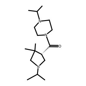 CC(C)N1CCN(C(=O)[C@@H]2CN(C(C)C)CC2(C)C)CC1